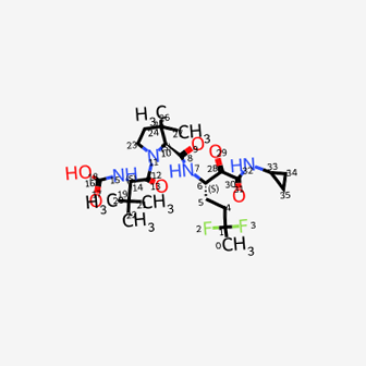 CC(F)(F)CC[C@H](NC(=O)[C@H]1N(C(=O)[C@@H](NC(=O)O)C(C)(C)C)CCC1(C)C)C(=O)C(=O)NC1CC1